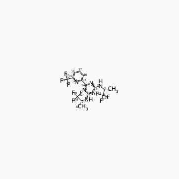 C[C@@H](Nc1nc(N[C@H](C)C(F)(F)F)nc(-c2cccc(C(F)(F)F)n2)n1)C(F)(F)F